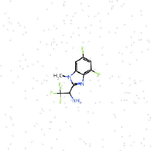 Cn1c(C(N)C(F)(F)F)nc2c(F)cc(F)cc21